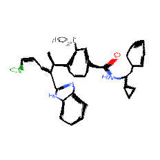 C=C(/C(=C\C=C/Cl)c1nc2ccccc2[nH]1)c1ccc(C(=O)NC(C2C=CC=CC2)C2CC2)cc1C(=O)O